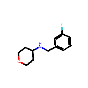 Fc1cccc(CNC2CCOCC2)c1